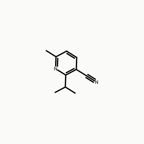 Cc1ccc(C#N)c(C(C)C)n1